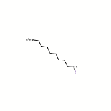 CCCCCCCCCCCCC[SiH2]I